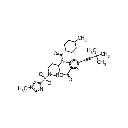 Cn1cnc(S(=O)(=O)N2CCC(N(c3cc(C#CC(C)(C)C)sc3C(=O)O)C(=O)[C@H]3CC[C@H](C)CC3)CC2)c1